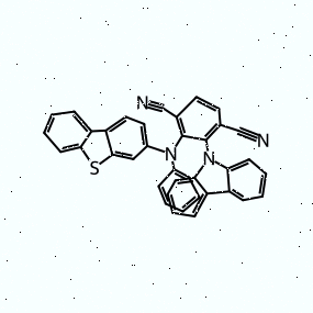 N#Cc1ccc(C#N)c(-n2c3ccccc3c3ccccc32)c1N(c1ccccc1)c1ccc2c(c1)sc1ccccc12